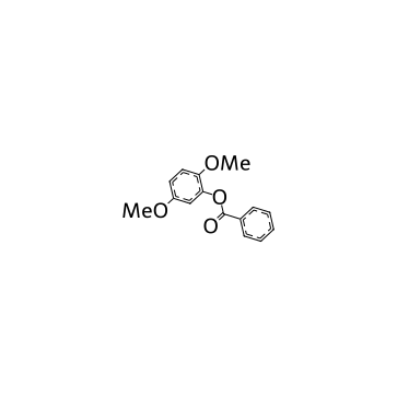 COc1ccc(OC)c(OC(=O)c2ccccc2)c1